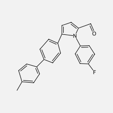 Cc1ccc(-c2ccc(-c3ccc(C=O)n3-c3ccc(F)cc3)cc2)cc1